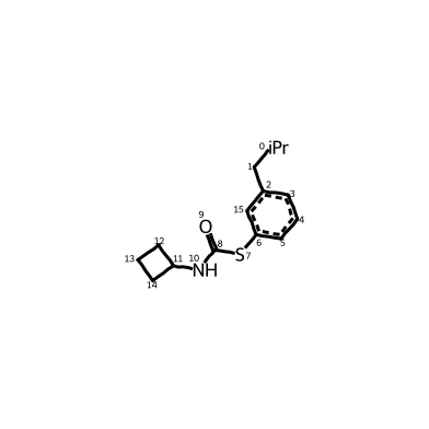 CC(C)Cc1cccc(SC(=O)NC2CCC2)c1